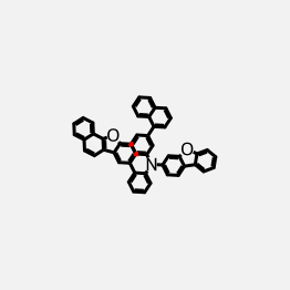 c1cc(-c2cccc3ccccc23)cc(N(c2ccc3c(c2)oc2ccccc23)c2ccccc2-c2ccc3oc4c5ccccc5ccc4c3c2)c1